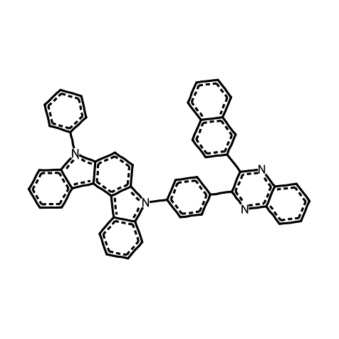 c1ccc(-n2c3ccccc3c3c4c5ccccc5n(-c5ccc(-c6nc7ccccc7nc6-c6ccc7ccccc7c6)cc5)c4ccc32)cc1